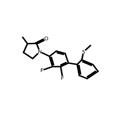 CSc1ccccc1-c1ccc(N2CCC(C)C2=O)c(F)c1F